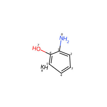 Nc1ccccc1O.[KH]